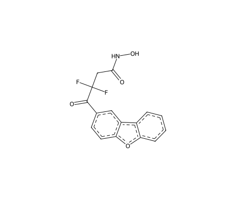 O=C(CC(F)(F)C(=O)c1ccc2oc3ccccc3c2c1)NO